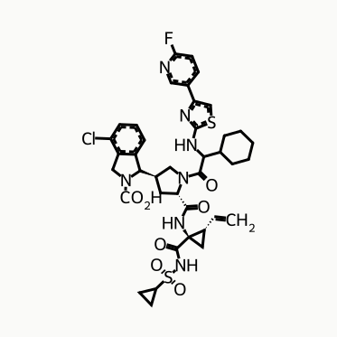 C=C[C@@H]1C[C@]1(NC(=O)[C@@H]1C[C@@H](C2c3cccc(Cl)c3CN2C(=O)O)CN1C(=O)C(Nc1nc(-c2ccc(F)nc2)cs1)C1CCCCC1)C(=O)NS(=O)(=O)C1CC1